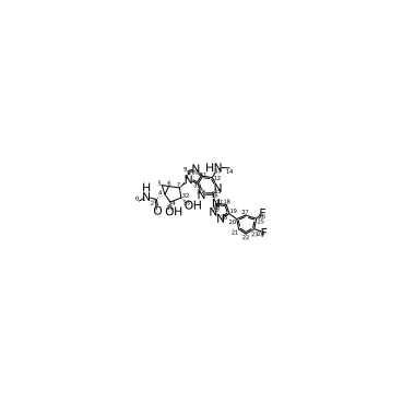 CNC(=O)[C@]12CC1[C@@H](n1cnc3c(NC)nc(-n4cc(-c5ccc(F)c(F)c5)nn4)nc31)[C@H](O)[C@@H]2O